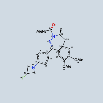 CNC(=O)N1N=C(c2ccc(N3CC(F)C3)cc2)c2cc(OC)c(OC)cc2C[C@@H]1C